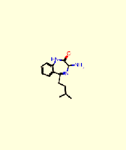 CC(C)CCC1=NC(N)C(=O)Nc2ccccc21